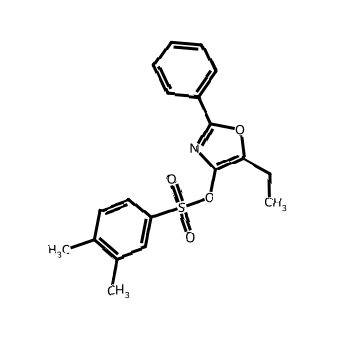 CCc1oc(-c2ccccc2)nc1OS(=O)(=O)c1ccc(C)c(C)c1